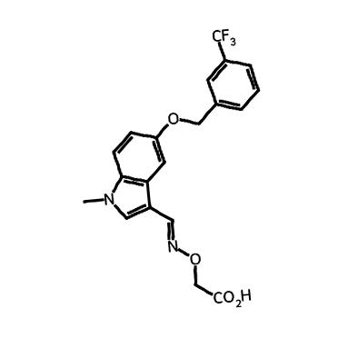 Cn1cc(C=NOCC(=O)O)c2cc(OCc3cccc(C(F)(F)F)c3)ccc21